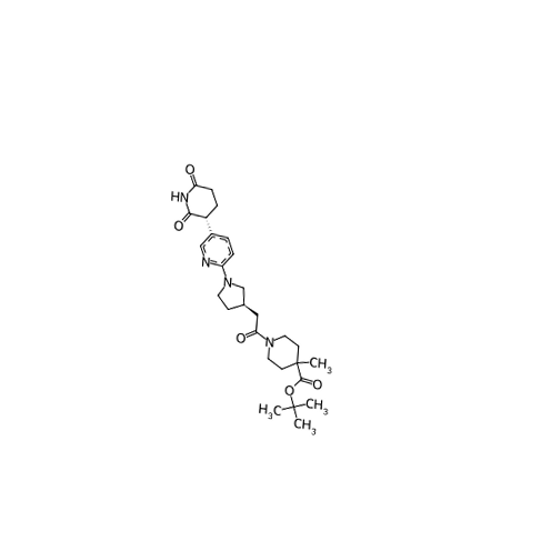 CC(C)(C)OC(=O)C1(C)CCN(C(=O)C[C@H]2CCN(c3ccc([C@H]4CCC(=O)NC4=O)cn3)C2)CC1